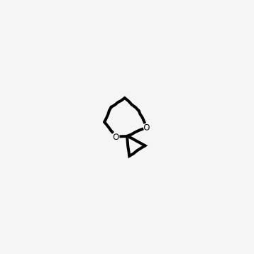 C1CCOC2(CC2)OC1